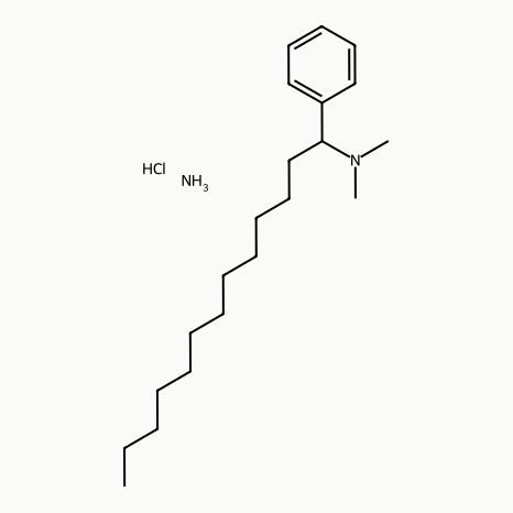 CCCCCCCCCCCCC(c1ccccc1)N(C)C.Cl.N